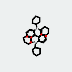 Cc1cccc([As](C2CCCCC2)C2CCCCC2)c1-c1c(C)cccc1[As](C1CCCCC1)C1CCCCC1